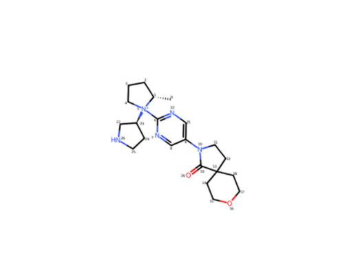 C[C@H]1CCC[N+]1(c1ncc(N2CCC3(CCOCC3)C2=O)cn1)[C@H]1CCNC1